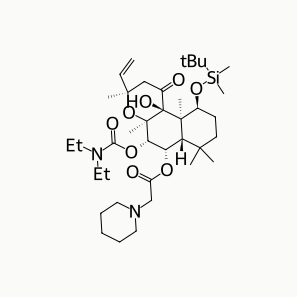 C=C[C@@]1(C)CC(=O)[C@]2(O)[C@@]3(C)[C@@H](O[Si](C)(C)C(C)(C)C)CCC(C)(C)[C@@H]3[C@H](OC(=O)CN3CCCCC3)[C@H](OC(=O)N(CC)CC)[C@@]2(C)O1